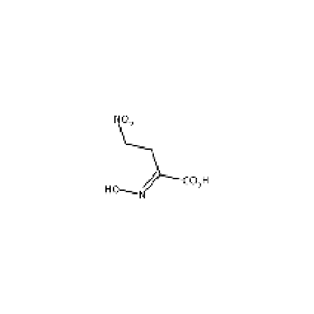 O=C(O)C(CC[N+](=O)[O-])=NO